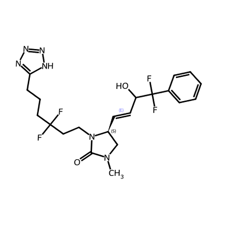 CN1C[C@H](/C=C/C(O)C(F)(F)c2ccccc2)N(CCC(F)(F)CCCc2nnn[nH]2)C1=O